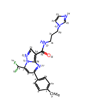 COc1ccc(-c2cc(C(F)F)n3ncc(C(=O)NCCCn4ccnc4)c3n2)cc1